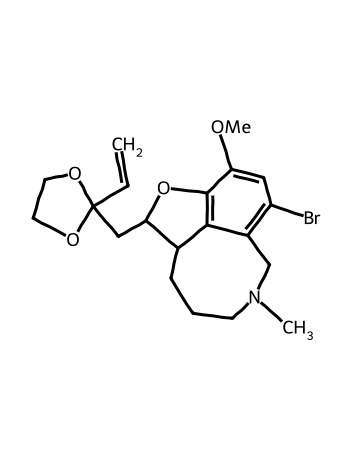 C=CC1(CC2Oc3c(OC)cc(Br)c4c3C2CCCN(C)C4)OCCO1